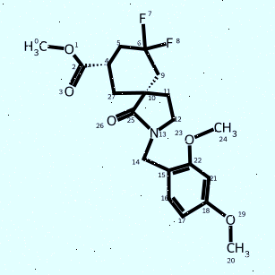 COC(=O)[C@@H]1CC(F)(F)C[C@@]2(CCN(Cc3ccc(OC)cc3OC)C2=O)C1